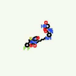 O=C(COc1c(-c2csc(N3C4CCC3COC4)n2)ccc(F)c1F)NCCCCCCNc1ccc2nnn(C3CCC(=O)NC3=O)c(=O)c2c1